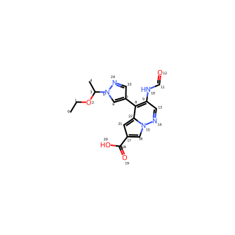 CCOC(C)n1cc(-c2c(NC=O)cnn3cc(C(=O)O)cc23)cn1